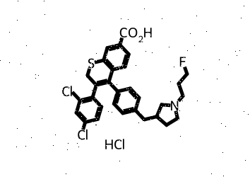 Cl.O=C(O)c1ccc2c(c1)SCC(c1ccc(Cl)cc1Cl)=C2c1ccc(CC2CCN(CCCF)C2)cc1